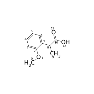 COc1ccccc1C(C)C(=O)O